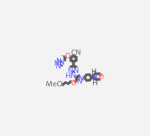 COCCCCOc1nn(C2CCC(N3[C@@H]4CC[C@H]3COC4)CC2)cc1Nc1ncc(-c2ccc(C#N)c(O[C@@H](C)Cn3cnnn3)c2)cn1